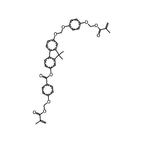 C=C(C)C(=O)OCOc1ccc(OCOc2ccc3c(c2)C(C)(C)c2cc(OC(=O)c4ccc(OCOC(=O)C(=C)C)cc4)ccc2-3)cc1